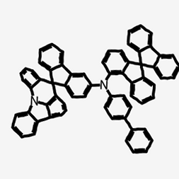 c1ccc(-c2ccc(N(c3ccc4c(c3)-c3ccccc3C43c4ccccc4-n4c5ccccc5c5cccc3c54)c3cccc4c3-c3ccccc3C43c4ccccc4-c4ccccc43)cc2)cc1